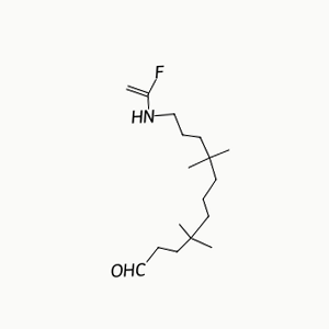 C=C(F)NCCCC(C)(C)CCCC(C)(C)CCC=O